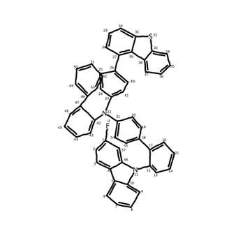 Fc1ccc2c3ccccc3n(-c3ccccc3-c3ccc(N(c4ccc(-c5cccc6sc7ccccc7c56)cc4)c4ccccc4-c4ccccc4)cc3)c2c1